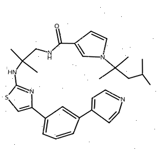 CC(C)CC(C)(C)n1ccc(C(=O)NCC(C)(C)Nc2nc(-c3cccc(-c4ccncc4)c3)cs2)c1